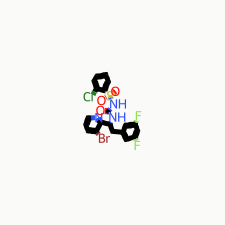 O=C(NC(Cc1cc(F)cc(F)c1)c1ncccc1Br)NS(=O)(=O)c1ccccc1Cl